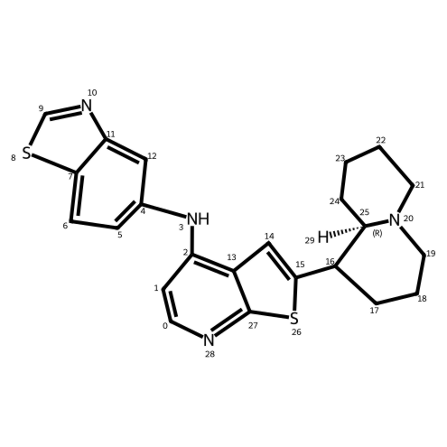 c1cc(Nc2ccc3scnc3c2)c2cc(C3CCCN4CCCC[C@H]34)sc2n1